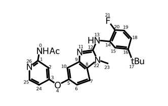 CC(=O)Nc1cc(Oc2ccc3c(c2)nc(Nc2cc(C(C)(C)C)ccc2F)n3C)ccn1